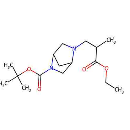 CCOC(=O)C(C)CN1CC2CC1CN2C(=O)OC(C)(C)C